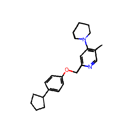 Cc1cnc(COc2ccc(C3CCCC3)cc2)cc1N1CCCCC1